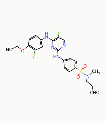 CN(CCC=O)S(=O)(=O)c1ccc(Nc2ncc(F)c(Nc3ccc(OCC#N)c(F)c3)n2)cc1